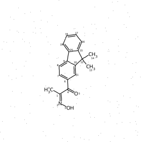 C/C(=N/O)C(=O)c1ccc2c(c1)C(C)(C)c1ccccc1-2